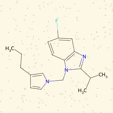 CCCc1ccn(Cn2c(C(C)C)nc3cc(F)ccc32)c1